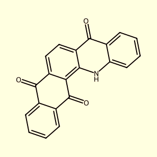 O=C1c2ccccc2C(=O)c2c1ccc1c(=O)c3ccccc3[nH]c21